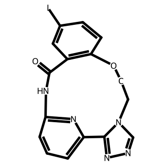 O=C1Nc2cccc(n2)-c2nncn2CCOc2ccc(I)cc21